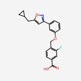 O=C(O)c1ccc(COc2cccc(-c3cc(CC4CC4)on3)c2)c(F)c1